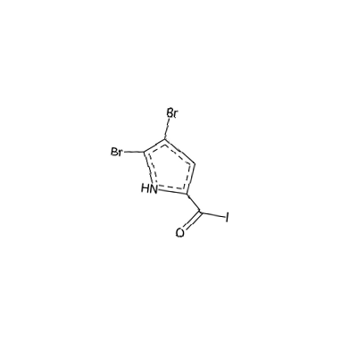 O=C(I)c1cc(Br)c(Br)[nH]1